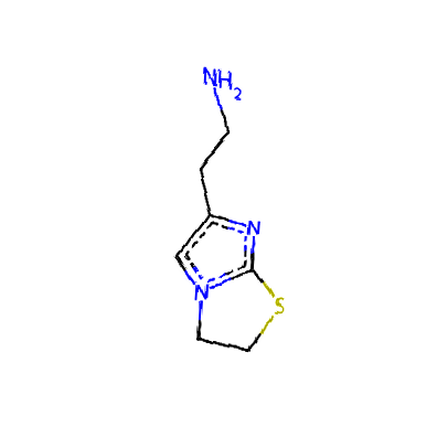 NCCc1cn2c(n1)SCC2